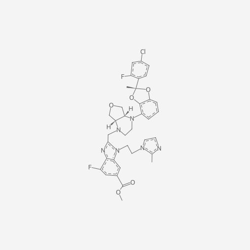 COC(=O)c1cc(F)c2nc(CN3CCN(c4cccc5c4O[C@](C)(c4ccc(Cl)cc4F)O5)[C@H]4COC[C@H]43)n(CCn3ccnc3C)c2c1